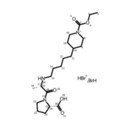 Br.Br.CCOC(=O)N1CCC(CCCCCN[C@@H](C)C(=O)N2CCC[C@H]2C(=O)O)CC1